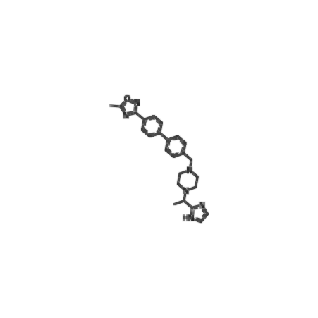 Cc1nc(-c2ccc(-c3ccc(CN4CCN(C(C)c5ncc[nH]5)CC4)cc3)cc2)no1